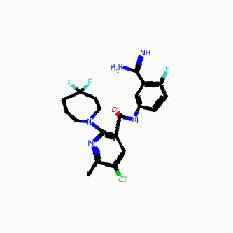 Cc1nc(N2CCCC(F)(F)CC2)c(C(=O)Nc2ccc(F)c(C(=N)N)c2)cc1Cl